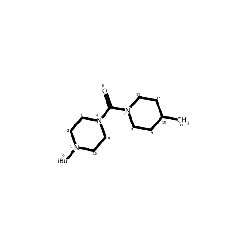 CCC(C)N1CCN(C(=O)N2CCC(C)CC2)CC1